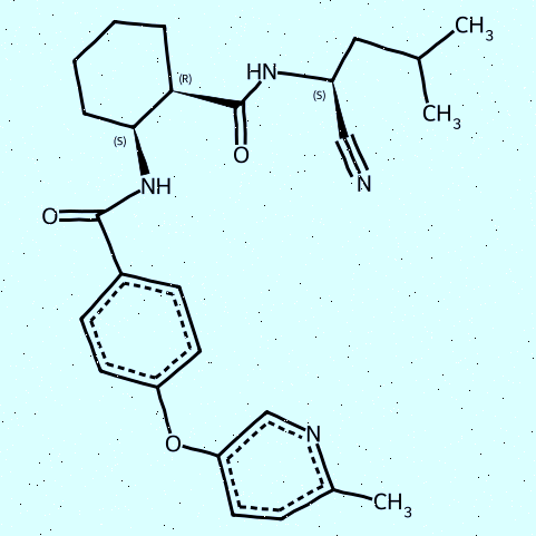 Cc1ccc(Oc2ccc(C(=O)N[C@H]3CCCC[C@H]3C(=O)N[C@H](C#N)CC(C)C)cc2)cn1